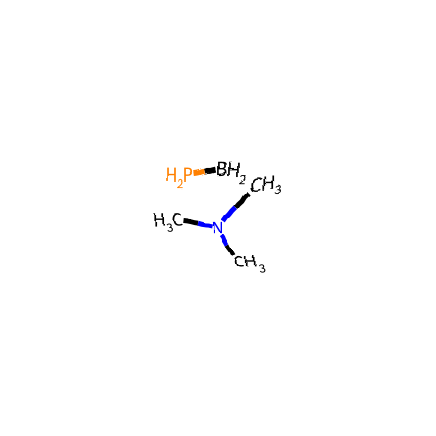 BP.CN(C)C